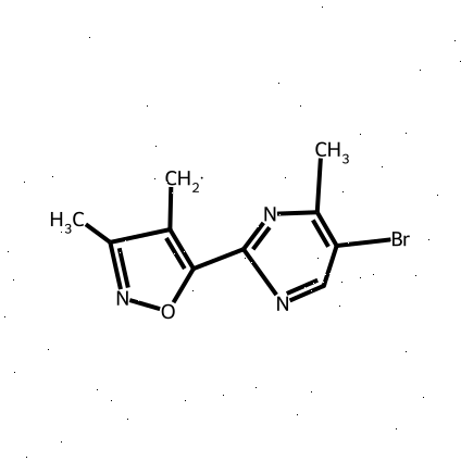 [CH2]c1c(C)noc1-c1ncc(Br)c(C)n1